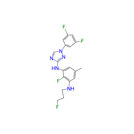 Cc1cc(NCCCF)c(F)c(Nc2ncn(-c3cc(F)cc(F)c3)n2)c1